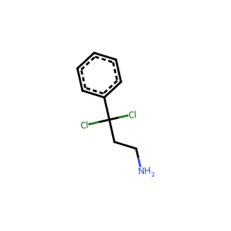 NCCC(Cl)(Cl)c1ccccc1